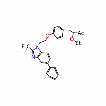 CCOC(Cc1ccc(OCCn2c(C(F)(F)F)nc3cc(-c4ccccc4)ccc32)cc1)C(C)=O